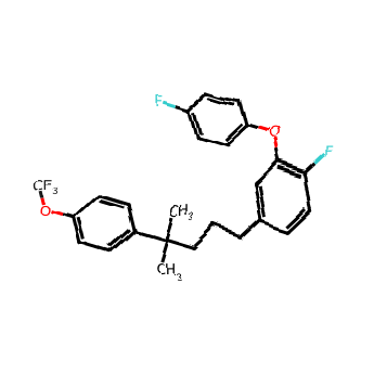 CC(C)(CCCc1ccc(F)c(Oc2ccc(F)cc2)c1)c1ccc(OC(F)(F)F)cc1